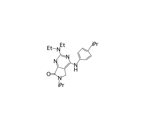 CCN(CC)c1nc(Nc2ccc(C(C)C)cc2)c2c(n1)C(=O)N(C(C)C)C2